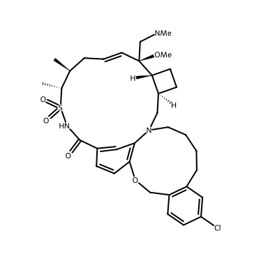 CNC[C@@]1(OC)/C=C/C[C@H](C)[C@@H](C)S(=O)(=O)NC(=O)c2ccc3c(c2)N(CCCCc2cc(Cl)ccc2CO3)C[C@@H]2CC[C@H]21